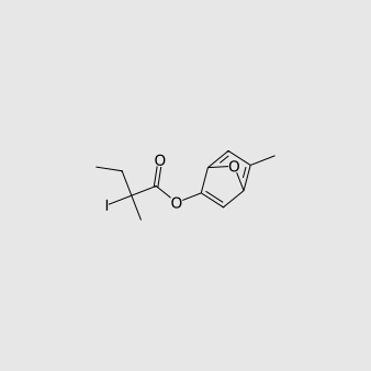 CCC(C)(I)C(=O)Oc1cc2oc1cc2C